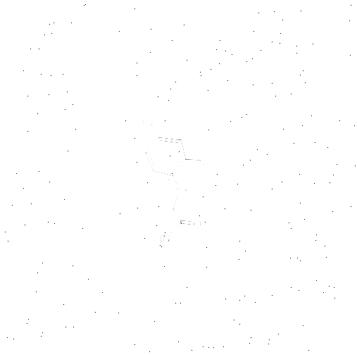 [NH]C(=O)CSc1ccc(Cl)cc1Cl